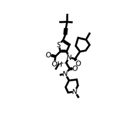 CC[C@@H](C(=O)N(C)C1CCN(C)CC1)N(C(=O)C1CCC(C)CC1)c1cc(C#CC(C)(C)C)sc1C(=O)O